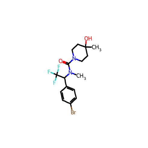 CN(C(=O)N1CCC(C)(O)CC1)C(c1ccc(Br)cc1)C(F)(F)F